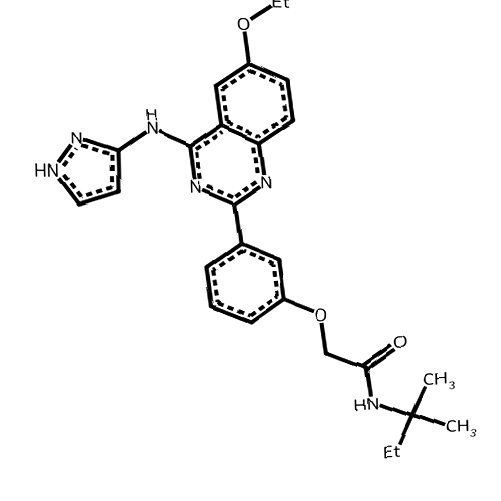 CCOc1ccc2nc(-c3cccc(OCC(=O)NC(C)(C)CC)c3)nc(Nc3cc[nH]n3)c2c1